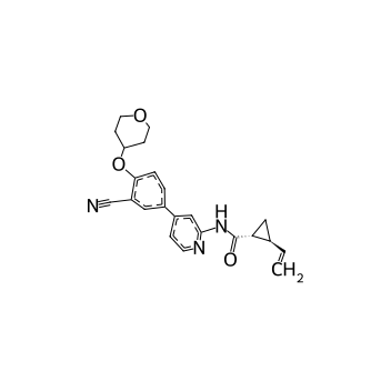 C=C[C@@H]1C[C@H]1C(=O)Nc1cc(-c2ccc(OC3CCOCC3)c(C#N)c2)ccn1